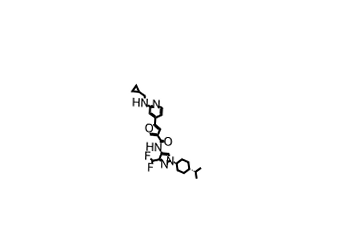 CC(C)[C@H]1CC[C@H](n2cc(NC(=O)c3coc(-c4ccnc(NCC5CC5)c4)c3)c(C(F)F)n2)CC1